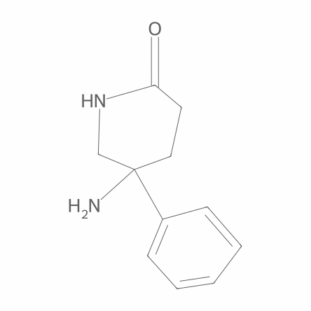 NC1(c2ccccc2)CCC(=O)NC1